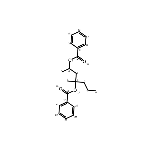 CCCC(C)(CC(C)OC(=O)c1ccccc1)OC(=O)c1ccccc1